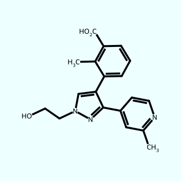 Cc1cc(-c2nn(CCO)cc2-c2cccc(C(=O)O)c2C)ccn1